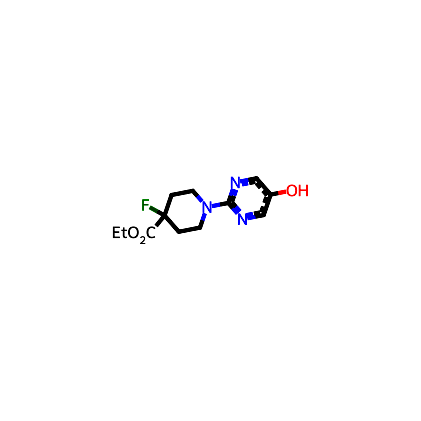 CCOC(=O)C1(F)CCN(c2ncc(O)cn2)CC1